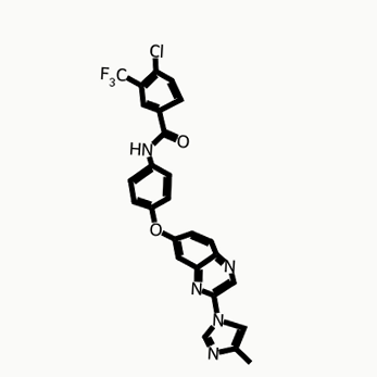 Cc1cn(-c2cnc3ccc(Oc4ccc(NC(=O)c5ccc(Cl)c(C(F)(F)F)c5)cc4)cc3n2)cn1